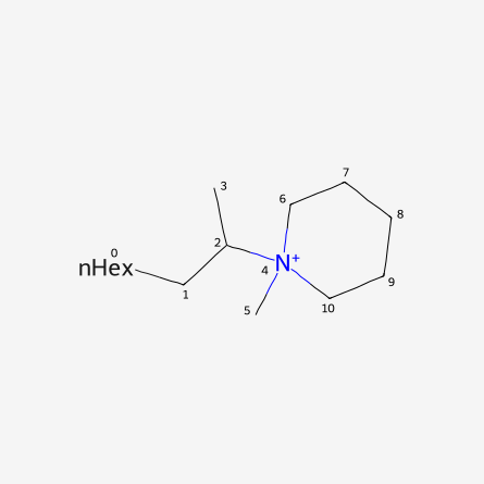 CCCCCCCC(C)[N+]1(C)CCCCC1